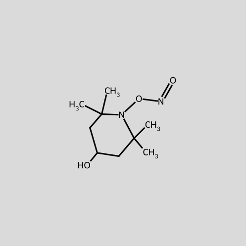 CC1(C)CC(O)CC(C)(C)N1ON=O